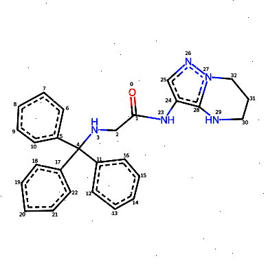 O=C(CNC(c1ccccc1)(c1ccccc1)c1ccccc1)Nc1cnn2c1NCCC2